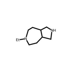 CCN1CCC2CNCC2CC1